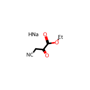 CCOC(=O)C(=O)CC#N.[NaH]